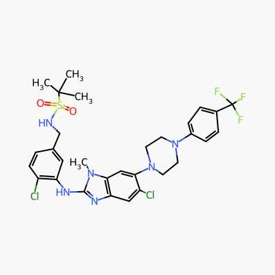 Cn1c(Nc2cc(CNS(=O)(=O)C(C)(C)C)ccc2Cl)nc2cc(Cl)c(N3CCN(c4ccc(C(F)(F)F)cc4)CC3)cc21